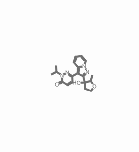 CC(C)n1nc(-c2c(C3(O)CCOC3C)nn3ccccc23)ccc1=O